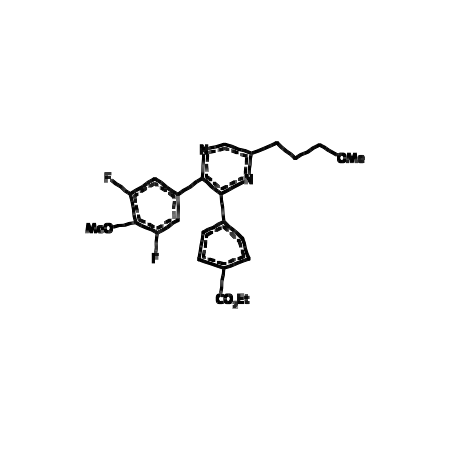 CCOC(=O)c1ccc(-c2nc(CCCOC)cnc2-c2cc(F)c(OC)c(F)c2)cc1